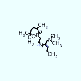 C=C/C=C(CN(C)C)\N=C/CB1OC(C)CCC(C)(C)O1